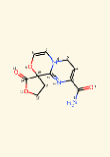 NC(=O)C1=CCN2C=COC3(CCOC3=O)C2=N1